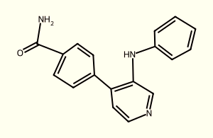 NC(=O)c1ccc(-c2ccncc2Nc2ccccc2)cc1